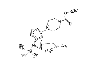 CC(C)[Si](C(C)C)(C(C)C)n1cc(CN(C)C)c2c(N3CCN(C(=O)OC(C)(C)C)CC3)cccc21